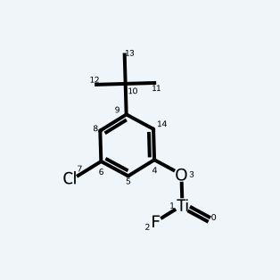 [CH2]=[Ti]([F])[O]c1cc(Cl)cc(C(C)(C)C)c1